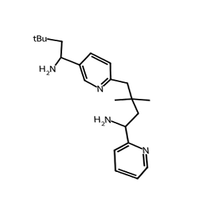 CC(C)(C)CC(N)c1ccc(CC(C)(C)CC(N)c2ccccn2)nc1